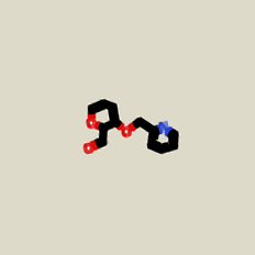 O=[C]C1OC=CC=C1OCc1ccccn1